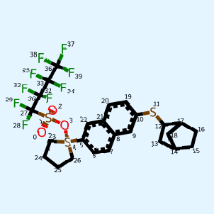 O=S(=O)(OS1(c2ccc3cc(SC4CC5CCC4C5)ccc3c2)CCCC1)C(F)(F)C(F)(F)C(F)(F)C(F)(F)F